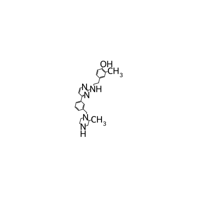 Cc1cc(CCNc2nccc(-c3cccc(CN4CCNCC4C)c3)n2)ccc1O